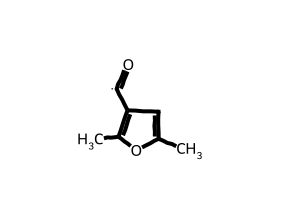 Cc1cc([C]=O)c(C)o1